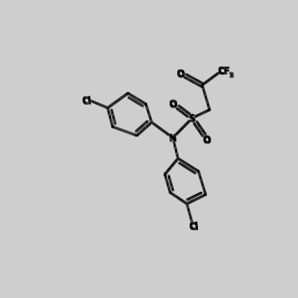 O=C(CS(=O)(=O)N(c1ccc(Cl)cc1)c1ccc(Cl)cc1)C(F)(F)F